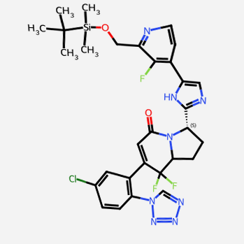 CC(C)(C)[Si](C)(C)OCc1nccc(-c2cnc([C@@H]3CCC4N3C(=O)C=C(c3cc(Cl)ccc3-n3cnnn3)C4(F)F)[nH]2)c1F